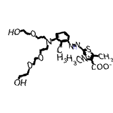 Cc1sc(/N=N/c2cccc(N(CCOCCO)CCOCCOCCO)c2C)[n+](C)c1C(=O)[O-]